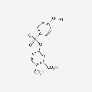 CCOc1ccc(S(=O)(=O)Oc2ccc(C(=O)O)c(C(=O)O)c2)cc1